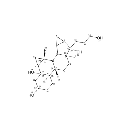 C[C@]12CC[C@H]3C(C1C1CC1[C@@]2(O)CCCO)[C@H]1CC1[C@]1(O)C[C@@H](O)CC[C@]31C